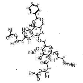 CCCCO[C@@H]1C(CO[C@@H]2OC3COC(c4ccccc4)O[C@H]3C(O)[C@@H]2NC(=O)C[C@@H](CC)OC(=O)CC)O[C@@H](OCCN=[N+]=[N-])[C@@H](NC(=O)C[C@@H](CC)OC(=O)CC)C1O